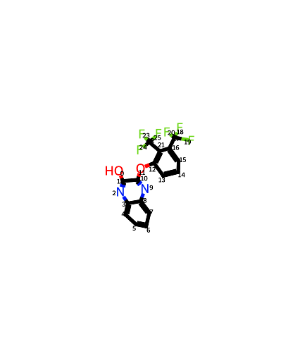 Oc1nc2ccccc2nc1Oc1cccc(C(F)(F)F)c1C(F)(F)F